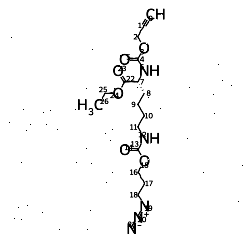 C#CCOC(=O)N[C@H](CCCCNC(=O)OCCCN=[N+]=[N-])C(=O)OCC